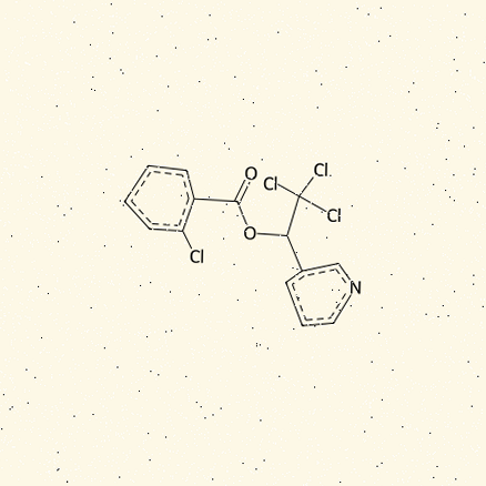 O=C(OC(c1cccnc1)C(Cl)(Cl)Cl)c1ccccc1Cl